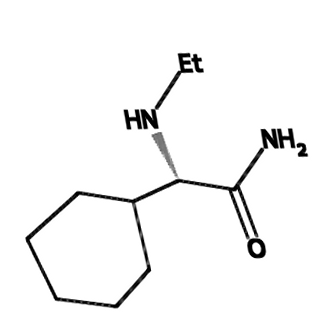 CCN[C@H](C(N)=O)C1CCCCC1